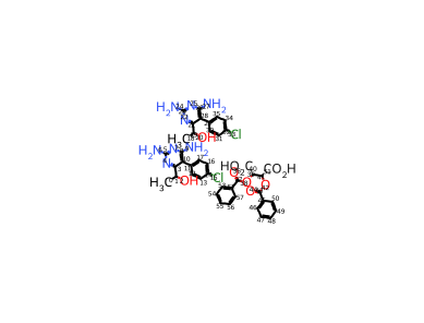 CC(O)c1nc(N)nc(N)c1-c1ccc(Cl)cc1.CC(O)c1nc(N)nc(N)c1-c1ccc(Cl)cc1.O=C(O[C@H](C(=O)O)[C@H](OC(=O)c1ccccc1)C(=O)O)c1ccccc1